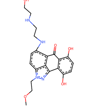 COCCn1nc2c3c(c(NCCNCCO)ccc31)C(=O)c1c(O)ccc(O)c1-2